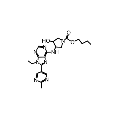 CCCCOC(=O)N1CC(O)C(Nc2ncnc3c2nc(-c2cnc(C)nc2)n3CC)C1